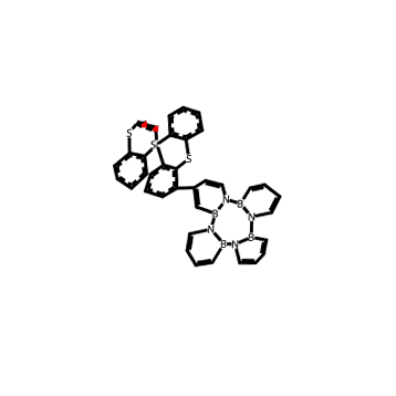 C1=CB2N(C=C1)B1C=CC=CN1B1C=C(c3cccc4c3Sc3ccccc3[Si]43c4ccccc4Sc4ccccc43)C=CN1B1C=CC=CN21